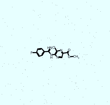 COC(=O)c1cnc(NC(=N)c2ccc(F)cc2)c(Cl)n1